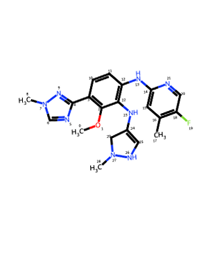 COc1c(-c2ncn(C)n2)ccc(Nc2cc(C)c(F)cn2)c1NC1=CNN(C)C1